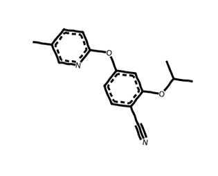 Cc1ccc(Oc2ccc(C#N)c(OC(C)C)c2)nc1